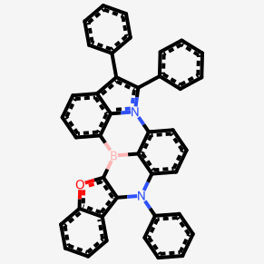 c1ccc(-c2c(-c3ccccc3)n3c4c(cccc24)B2c4oc5ccccc5c4N(c4ccccc4)c4cccc-3c42)cc1